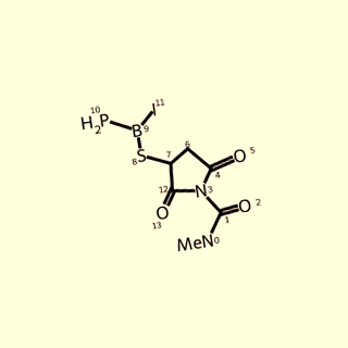 CNC(=O)N1C(=O)CC(SB(P)I)C1=O